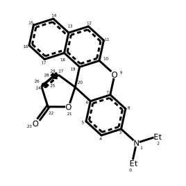 CCN(CC)c1ccc2c(c1)Oc1ccc3ccccc3c1C21OC(=O)c2ccccc21